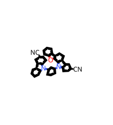 N#Cc1ccc2c(c1)c1ccccc1n2-c1cccc(-n2c3ccc(C#N)cc3c3ccc4c5ccccc5oc4c32)c1